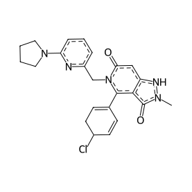 Cn1[nH]c2cc(=O)n(Cc3cccc(N4CCCC4)n3)c(C3=CCC(Cl)C=C3)c2c1=O